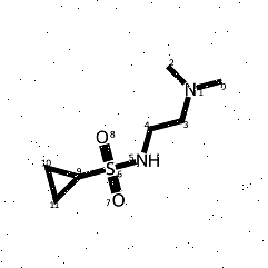 CN(C)CCNS(=O)(=O)C1CC1